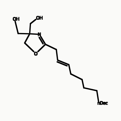 CCCCCCCCCCCCCCC=CCC1=NC(CO)(CO)CO1